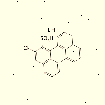 O=S(=O)(O)c1c(Cl)cc2cccc3c4cccc5cccc(c1c23)c54.[LiH]